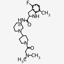 Cc1ccc(F)c2c1NC(C(=O)N[C@@H]1CCCN(C3CCN(C(=O)CN(C)C)CC3)C1)C2